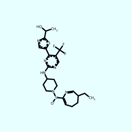 CCC1C=NC([S+]([O-])N2CCC(Nc3ncc(C(F)(F)F)c(-c4cnc(C(C)O)s4)n3)CC2)=CCC1